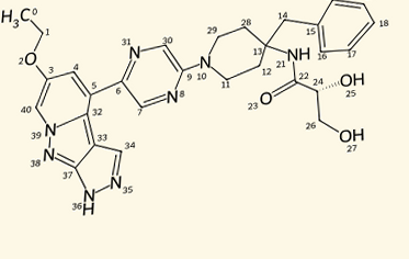 CCOc1cc(-c2cnc(N3CCC(Cc4ccccc4)(NC(=O)[C@H](O)CO)CC3)cn2)c2c3cn[nH]c3nn2c1